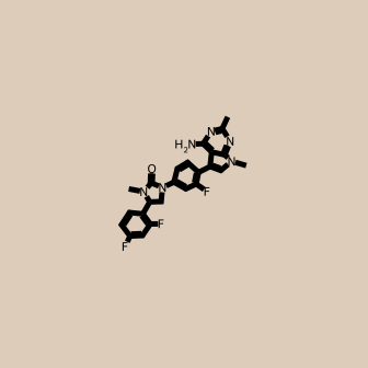 Cc1nc(N)c2c(-c3ccc(N4CC(c5ccc(F)cc5F)N(C)C4=O)cc3F)cn(C)c2n1